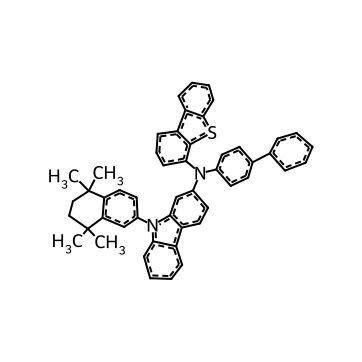 CC1(C)CCC(C)(C)c2cc(-n3c4ccccc4c4ccc(N(c5ccc(-c6ccccc6)cc5)c5cccc6c5sc5ccccc56)cc43)ccc21